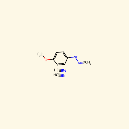 C#N.C#N.C=NNc1ccc(OC(F)(F)F)cc1